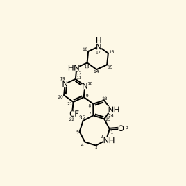 O=C1NCCCCc2c(-c3nc(NC4CCCNC4)ncc3C(F)(F)F)c[nH]c21